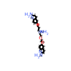 Nc1ccc2cc(OC/C=C/N(N)CCOCCOc3ccc4nc(N)ccc4c3)ccc2n1